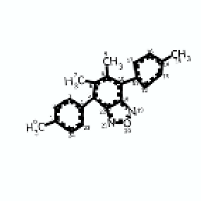 Cc1ccc(-c2c(C)c(C)c(-c3ccc(C)cc3)c3nonc23)cc1